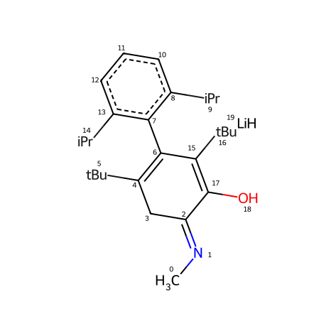 CN=C1CC(C(C)(C)C)=C(c2c(C(C)C)cccc2C(C)C)C(C(C)(C)C)=C1O.[LiH]